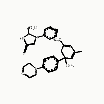 CC1=CC(C(=O)O)(c2ccc(N3CCOCC3)cc2)CC(C(=O)O)=C1.O=C1CN(c2ccccc2)C(S(=O)(=O)O)N1